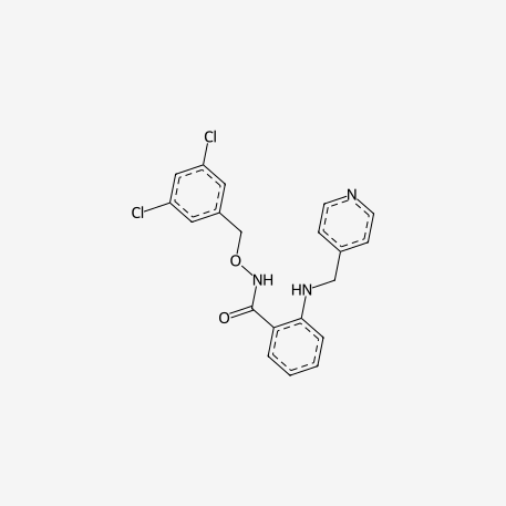 O=C(NOCc1cc(Cl)cc(Cl)c1)c1ccccc1NCc1ccncc1